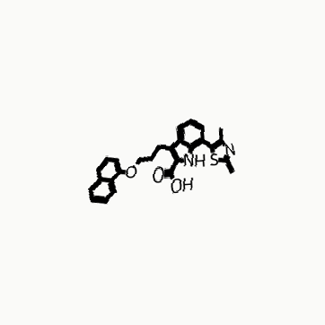 Cc1nc(C)c(-c2cccc3c(CCCOc4cccc5ccccc45)c(C(=O)O)[nH]c23)s1